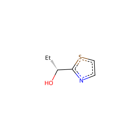 CC[C@@H](O)c1nccs1